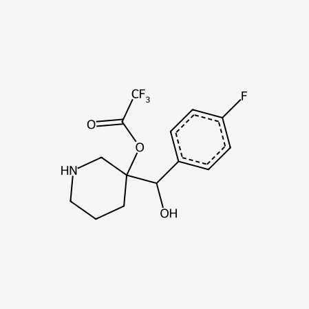 O=C(OC1(C(O)c2ccc(F)cc2)CCCNC1)C(F)(F)F